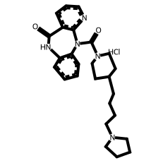 Cl.O=C1Nc2ccccc2N(C(=O)N2CCC(CCCCN3CCCC3)CC2)c2ncccc21